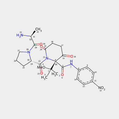 COC(C)(C)[C@]1(C(=O)Nc2ccc([N+](=O)[O-])cc2)C(=O)CCC(=O)N1C(=O)[C@@H]1CCCN1C(=O)[C@H](C)N